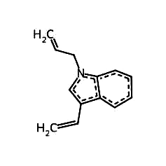 C=CCn1cc(C=C)c2ccccc21